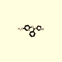 Cc1ccc(OC(c2ccccc2)[C@H]2CCNC2)nc1